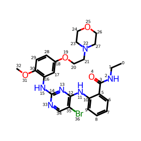 CCNC(=O)c1ccccc1Nc1nc(Nc2cc(OCCN3CCOCC3)ccc2OC)ncc1Br